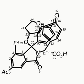 CC(=O)c1cc(F)c2c(c1)C(=O)N([C@@H](C(=O)O)c1ccc(Cl)cc1)[C@@]2(O[C@H]1CCOC1)c1ccc(Cl)cc1